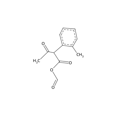 CC(=O)C(C(=O)OC=O)c1ccccc1C